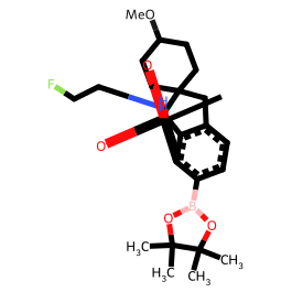 COC1CCC2(CC1)Cc1ccc(B3OC(C)(C)C(C)(C)O3)cc1C21NC(=O)N(CCF)C1=O